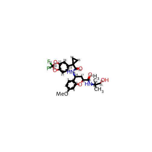 COc1ccc2c(c1)OC(C(=O)NC(C)(C)CO)CC2NC(=O)C1(c2ccc3c(c2)OC(F)(F)O3)CC1